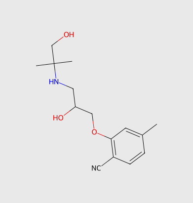 Cc1ccc(C#N)c(OCC(O)CNC(C)(C)CO)c1